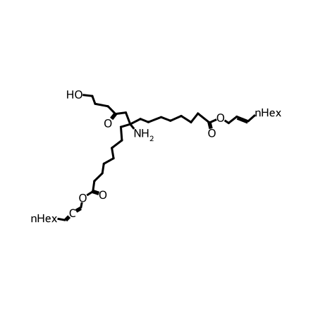 CCCCCCC=C=COC(=O)CCCCCCCC(N)(CCCCCCCC(=O)OC/C=C/CCCCCC)CC(=O)CCCO